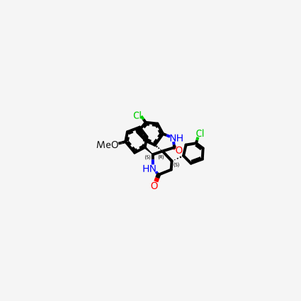 COc1cccc([C@@H]2NC(=O)C[C@@H](C3C=CC=C(Cl)C3)[C@]23C(=O)Nc2cc(Cl)ccc23)c1